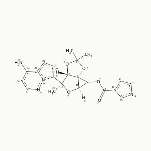 CC1(C)O[C@@H]2[C@@]3(O1)C(OC(=O)n1ccnc1)[C@H]3O[C@@]2(C)c1ccc2c(N)ncnn12